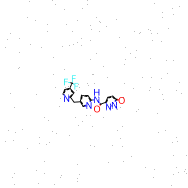 Cn1nc(C(=O)Nc2ccc(Cc3cc(C(F)(F)F)ccn3)cn2)ccc1=O